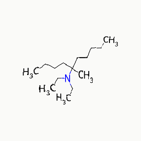 CCCCCC(C)(CCCC)N(CC)CC